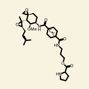 CO[C@H]1[C@H](C2(C)O[C@@H]2CC=C(C)C)[C@]2(CC[C@H]1NC(=O)C13CCC(C(=O)NCCCOC(=O)C4CCCN4)(CC1)CC3)CO2